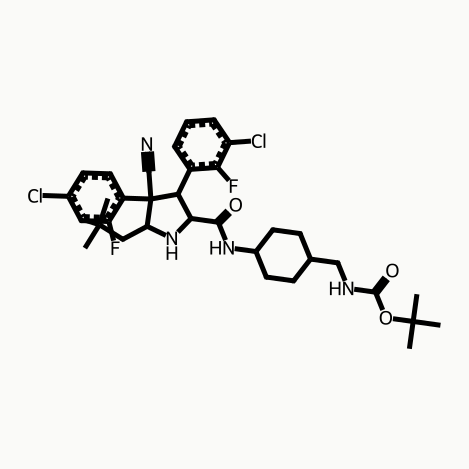 CC(C)(C)CC1NC(C(=O)NC2CCC(CNC(=O)OC(C)(C)C)CC2)C(c2cccc(Cl)c2F)C1(C#N)c1ccc(Cl)cc1F